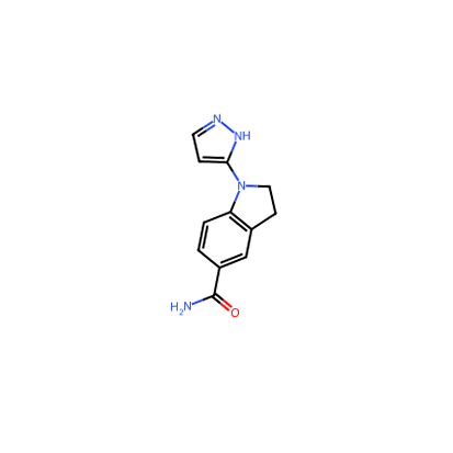 NC(=O)c1ccc2c(c1)CCN2c1ccn[nH]1